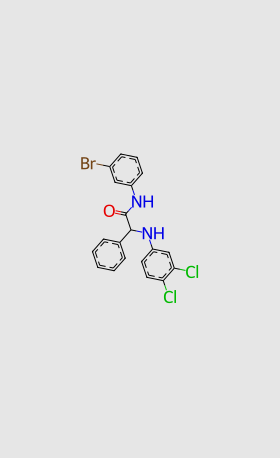 O=C(Nc1cccc(Br)c1)C(Nc1ccc(Cl)c(Cl)c1)c1ccccc1